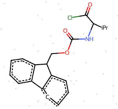 CC(C)C(NC(=O)OCC1c2ccccc2-c2ccccc21)C(=O)Cl